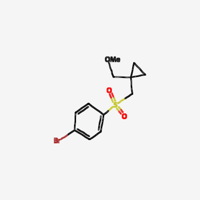 COCC1(CS(=O)(=O)c2ccc(Br)cc2)CC1